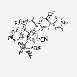 N#CC(=C1c2cc(-c3ccncc3)c(C(F)(F)F)cc2-c2cc(C(F)(F)F)c(-c3ccncc3)cc21)c1c(F)c(F)c(F)c(F)c1F